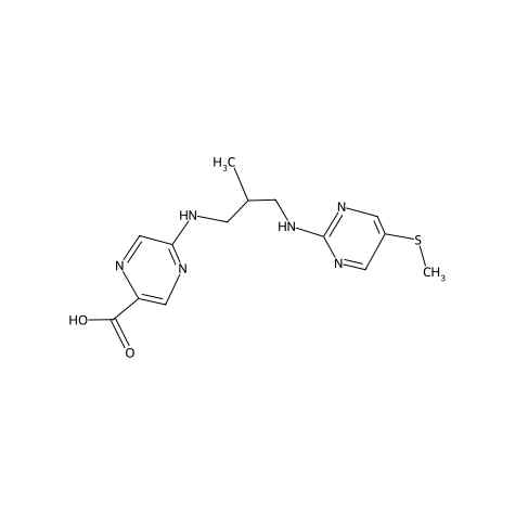 CSc1cnc(NCC(C)CNc2cnc(C(=O)O)cn2)nc1